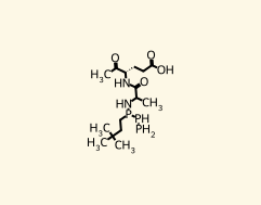 CC(=O)[C@H](CCC(=O)O)NC(=O)C(C)NP(CCC(C)(C)C)PP